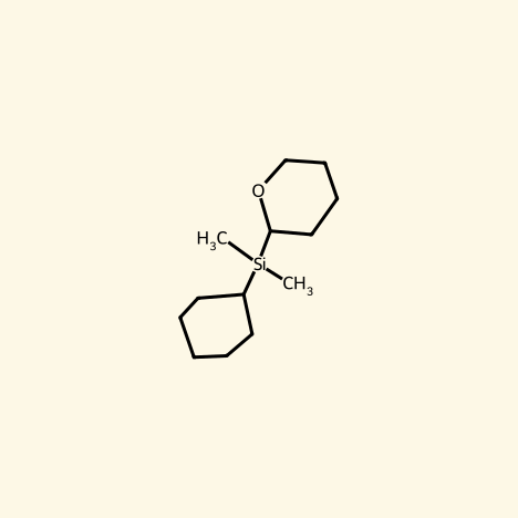 C[Si](C)(C1CCCCC1)C1CCCCO1